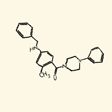 Cc1cc(NCc2ccccc2)ccc1C(=O)N1CCN(c2ccccc2)CC1